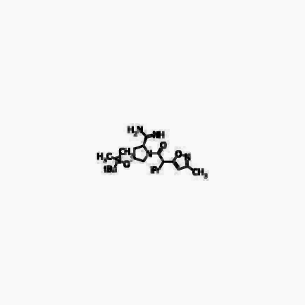 Cc1cc(C(C(=O)N2C[C@H](O[Si](C)(C)C(C)(C)C)C[C@H]2C(=N)N)C(C)C)on1